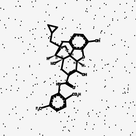 O=C(Nc1cc(C(F)(F)F)ccc1C(=O)O)C1=C(O)[C@@H]2Oc3c(O)ccc4c3[C@@]23CCN(CC2CC2)[C@H](C4)[C@]3(O)C1